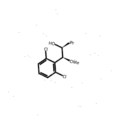 CO[C@@H](c1c(Cl)cccc1Cl)[C@@H](O)C(C)C